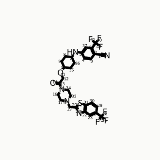 N#Cc1ccc(NC2CCC(OCC(=O)N3CCN(Cc4nc5cc(C(F)(F)F)ccc5s4)CC3)CC2)cc1C(F)(F)F